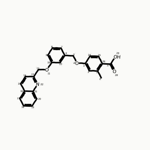 Cc1cc(OCc2cccc(OCc3ccc4ccccc4n3)c2)ccc1C(=O)O